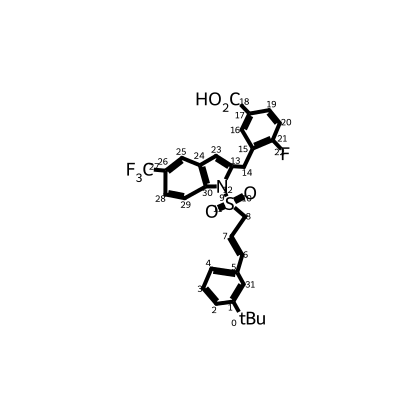 CC(C)(C)c1cccc(C=CCS(=O)(=O)n2c(Cc3cc(C(=O)O)ccc3F)cc3cc(C(F)(F)F)ccc32)c1